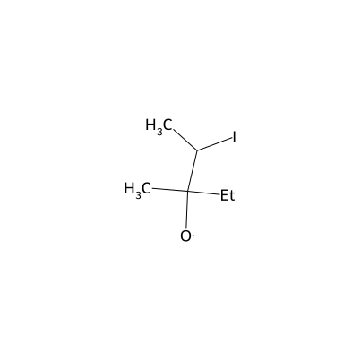 CCC(C)([O])C(C)I